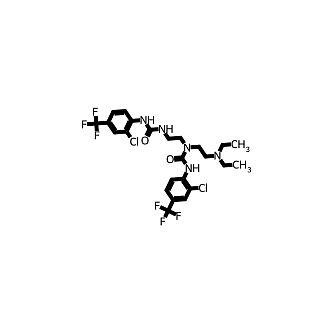 CCN(CC)CCN(CCNC(=O)Nc1ccc(C(F)(F)F)cc1Cl)C(=O)Nc1ccc(C(F)(F)F)cc1Cl